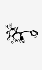 N#CC(Cc1ccsc1)c1nc(N)[nH]c(=O)c1[N+](=O)[O-]